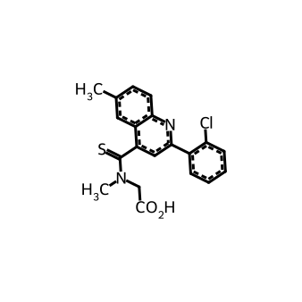 Cc1ccc2nc(-c3ccccc3Cl)cc(C(=S)N(C)CC(=O)O)c2c1